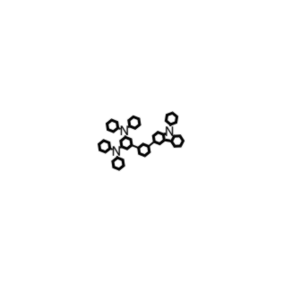 c1ccc(N(c2ccccc2)c2cc(-c3cccc(-c4ccc5c(c4)c4ccccc4n5-c4ccccc4)c3)cc(N(c3ccccc3)c3ccccc3)c2)cc1